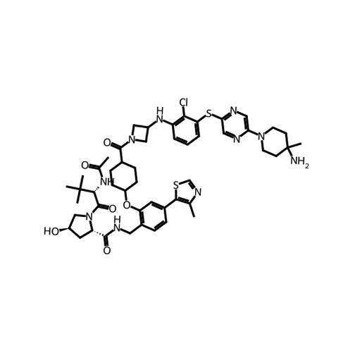 CC(=O)N[C@H](C(=O)N1C[C@H](O)C[C@H]1C(=O)NCc1ccc(-c2scnc2C)cc1OC1CCC(C(=O)N2CC(Nc3cccc(Sc4cnc(N5CCC(C)(N)CC5)cn4)c3Cl)C2)CC1)C(C)(C)C